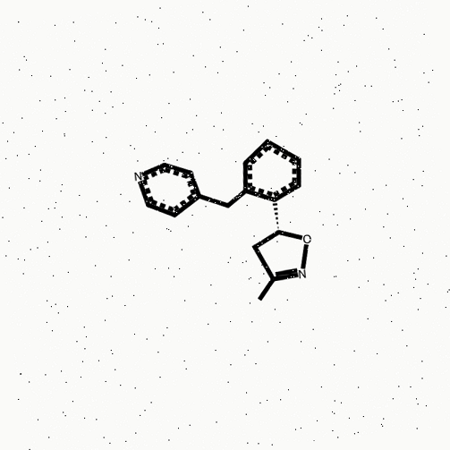 CC1=NO[C@@H](c2ccccc2Cc2ccncc2)C1